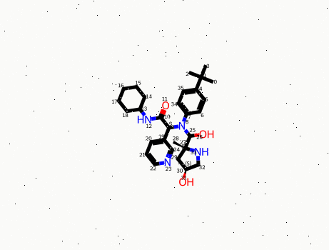 CC(C)(C)c1ccc(N(C(C(=O)NC2CCCCC2)c2cccnc2)C(O)[C@@]2(C)C[C@H](O)CN2)cc1